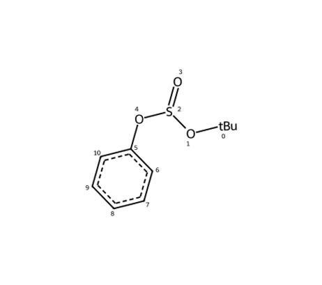 CC(C)(C)OS(=O)Oc1ccccc1